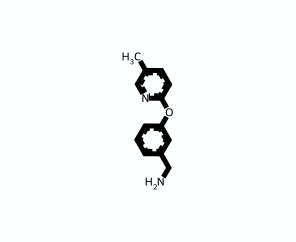 Cc1ccc(Oc2cccc(CN)c2)nc1